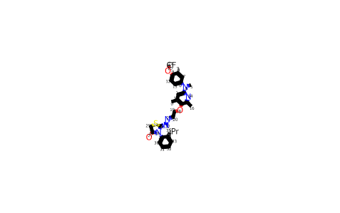 Cc1cc(N(C)c2ccc(OC(F)(F)F)cc2)nc(C)c1OC/C=N/N=C1\SCC(=O)N1c1ccccc1C(C)C